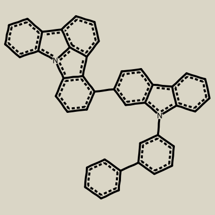 c1ccc(-c2cccc(-n3c4ccccc4c4ccc(-c5cccc6c5c5cccc7c8ccccc8n6c75)cc43)c2)cc1